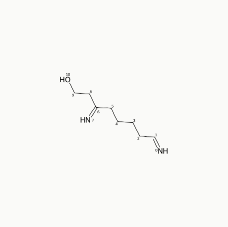 N=CCCCCC(=N)CCO